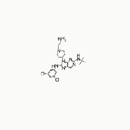 CC(C)(C)Nc1ncc2nc(Nc3cc(Cl)cc(Cl)c3)n(C3CCN(CCN)CC3)c2n1